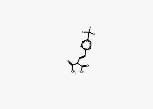 CC(=O)C(C=Cc1ccc(C(F)(F)F)cc1)C(=O)O